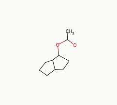 CC([O])OC1CCC2CCCC21